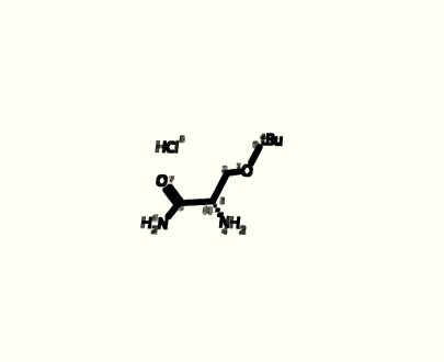 CC(C)(C)OC[C@H](N)C(N)=O.Cl